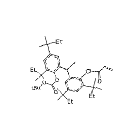 C=CC(=O)Oc1c(C(C)c2cc(C(C)(C)CC)cc(C(C)(C)CC)c2OC(=O)OC(C)(C)C)cc(C(C)(C)CC)cc1C(C)(C)CC